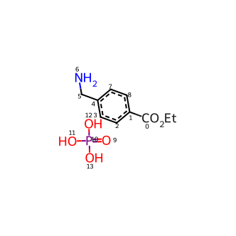 CCOC(=O)c1ccc(CN)cc1.O=P(O)(O)O